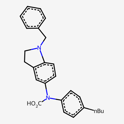 CCCCc1ccc(N(C(=O)O)c2ccc3c(c2)CCN3Cc2ccccc2)cc1